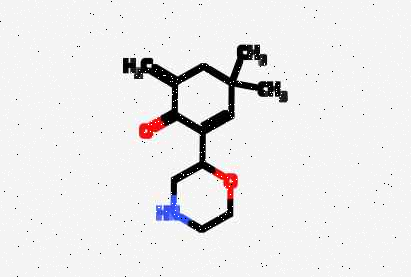 C=C1CC(C)(C)C=C(C2CNCCO2)C1=O